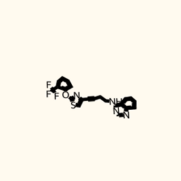 FC(F)(F)c1ccccc1Oc1nc(C#CCCNc2ncnc3ccccc23)cs1